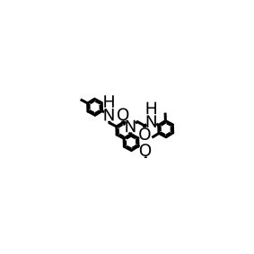 COc1ccc2cc(CNc3ccc(C)cc3)c(=O)n(CC(=O)Nc3c(C)cccc3C)c2c1